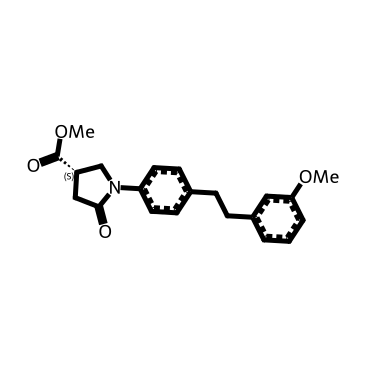 COC(=O)[C@H]1CC(=O)N(c2ccc(CCc3cccc(OC)c3)cc2)C1